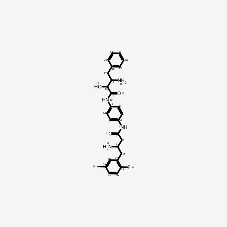 NC(CC(=O)Nc1ccc(NC(=O)C(O)C(N)Cc2ccccc2)cc1)Cc1cc(F)ccc1F